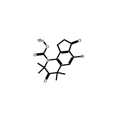 CC(C)(C)OC(=O)N1c2c(cc(Br)c3c2CCC3=O)C(C)(C)C(=O)C1(C)C